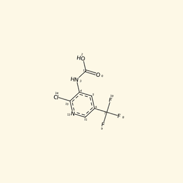 O=C(O)Nc1cc(C(F)(F)F)cnc1Cl